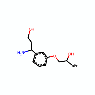 CCCC(O)COc1cccc(C(N)CCO)c1